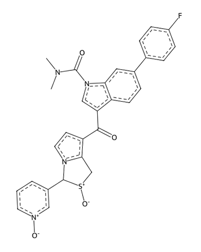 CN(C)C(=O)n1cc(C(=O)c2ccn3c2C[S+]([O-])C3c2ccc[n+]([O-])c2)c2ccc(-c3ccc(F)cc3)cc21